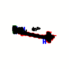 COc1ccccc1N(C)C(=O)c1cc(-c2cnc(C(F)(F)F)cc2C#N)c(Cl)cc1OCCCC(=O)NCCOCCOCCOCCOCCOCCOCCOCCOCCNC(=O)CN1CCN(CC(=O)[O-])CCN(CC(=O)[O-])CCN(CC(=O)[O-])CC1.[In+3]